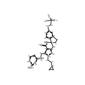 O=C1N[C@@]2(CCc3cc(OCC(F)(F)F)ccc32)Cc2nn(CCC3CC3)c(CNc3ccnc(O)n3)c21